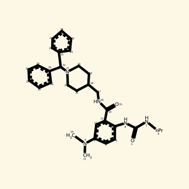 CCCNC(=O)Nc1ccc(N(C)C)cc1C(=O)NCC1CCN(C(c2ccccc2)c2ccccc2)CC1